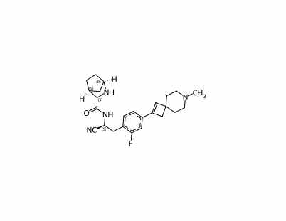 CN1CCC2(C=C(c3ccc(C[C@@H](C#N)NC(=O)[C@H]4N[C@@H]5CC[C@H]4C5)c(F)c3)C2)CC1